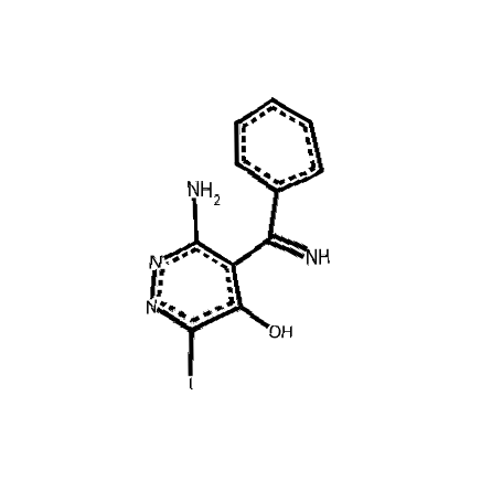 N=C(c1ccccc1)c1c(N)nnc(I)c1O